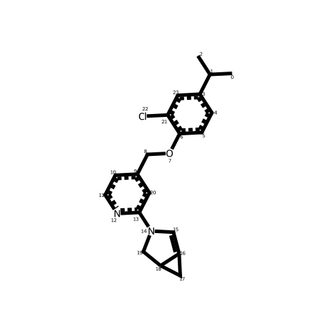 CC(C)c1ccc(OCc2ccnc(N3C=C4CC4C3)c2)c(Cl)c1